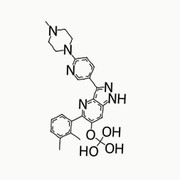 Cc1cccc(-c2nc3c(-c4ccc(N5CCN(C)CC5)nc4)n[nH]c3cc2OC(O)(O)O)c1C